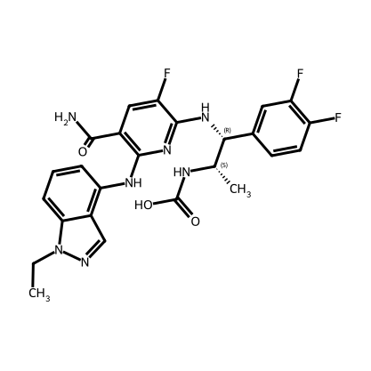 CCn1ncc2c(Nc3nc(N[C@H](c4ccc(F)c(F)c4)[C@H](C)NC(=O)O)c(F)cc3C(N)=O)cccc21